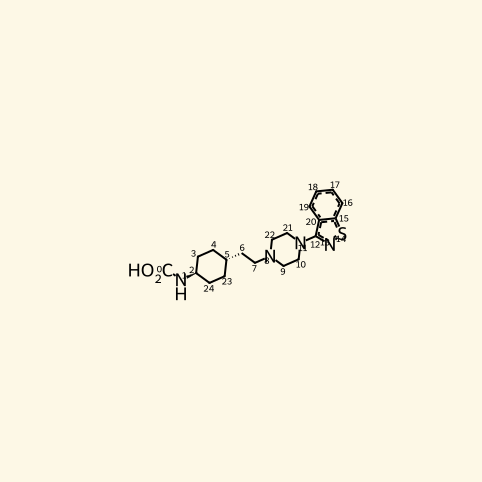 O=C(O)N[C@H]1CC[C@H](CCN2CCN(c3nsc4ccccc34)CC2)CC1